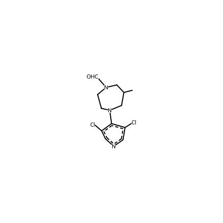 CC1CN(C=O)CCN(c2c(Cl)cncc2Cl)C1